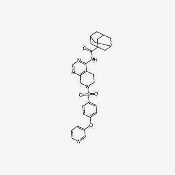 O=C(Nc1ncnc2c1CCN(S(=O)(=O)c1ccc(Oc3cccnc3)cc1)C2)C12CC3CC(CC(C3)C1)C2